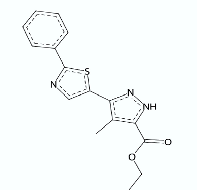 CCOC(=O)c1[nH]nc(-c2cnc(-c3ccccc3)s2)c1C